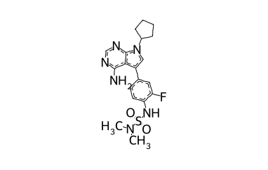 CN(C)S(=O)(=O)Nc1ccc(-c2cn(C3CCCC3)c3ncnc(N)c23)cc1F